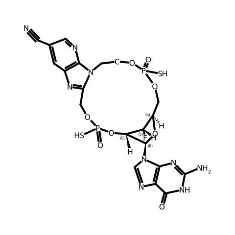 N#Cc1cnc2c(c1)nc1n2CCOP(=O)(S)OC[C@H]2O[C@@H](n3cnc4c(=O)[nH]c(N)nc43)[C@H](OP(=O)(S)OC1)[C@H]2F